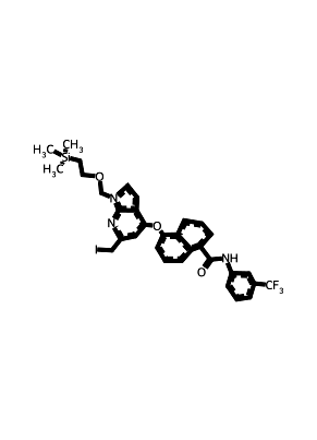 C[Si](C)(C)CCOCn1ccc2c(Oc3cccc4c(C(=O)Nc5cccc(C(F)(F)F)c5)cccc34)cc(CI)nc21